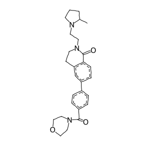 CC1CCCN1CCN1CCc2cc(-c3ccc(C(=O)N4CCOCC4)cc3)ccc2C1=O